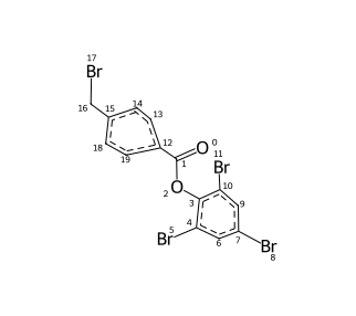 O=C(Oc1c(Br)cc(Br)cc1Br)c1ccc(CBr)cc1